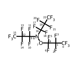 FC(F)(F)C(F)(F)C(F)(F)ON(C(F)(F)C(F)(F)C(F)(F)F)C(F)(F)C(F)(F)C(F)(F)F